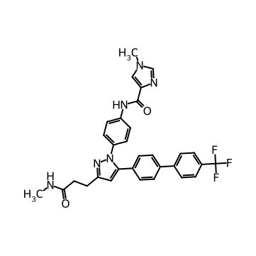 CNC(=O)CCc1cc(-c2ccc(-c3ccc(C(F)(F)F)cc3)cc2)n(-c2ccc(NC(=O)c3cn(C)cn3)cc2)n1